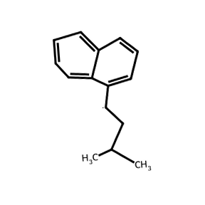 CC(C)C[CH]c1cccc2ccccc12